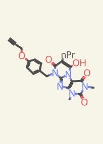 C#CCOc1ccc(Cn2c(=O)c(CCC)c(O)n3c4c(=O)n(C)c(=O)n(C)c4nc23)cc1